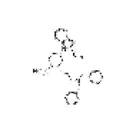 O=C(O)N1CCC(n2c(C(F)(F)F)nc3ccccc32)C[C@@H]1CCCN(Cc1ccccc1)Cc1ccccc1